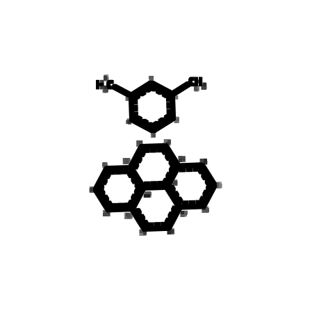 Cc1cccc(C)c1.c1cc2ccc3cccc4ccc(c1)c2c34